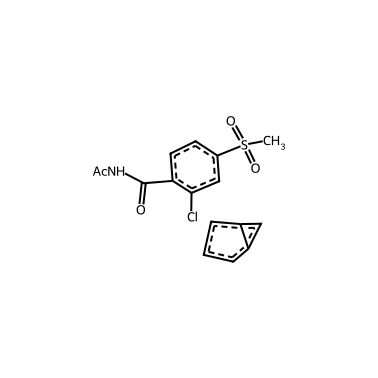 CC(=O)NC(=O)c1ccc(S(C)(=O)=O)cc1Cl.c1cc2cc-2c1